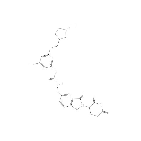 CN1CCC(COc2cc(Cl)cc(NC(=O)NCc3ccc4c(c3)C(=O)N(C3CCC(=O)NC3=O)C4)c2)C1